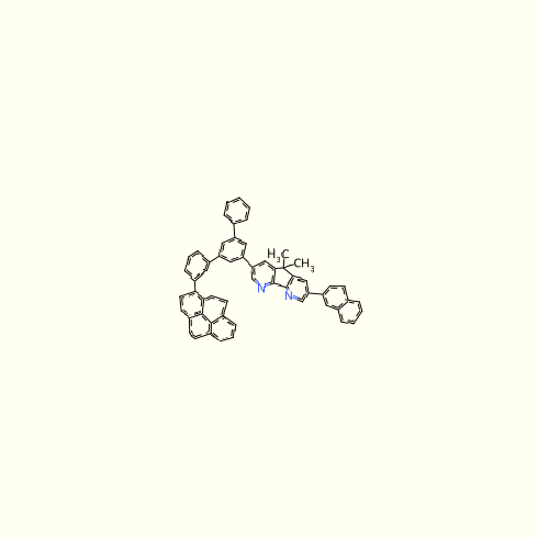 CC1(C)c2cc(-c3cc(-c4ccccc4)cc(-c4cccc(-c5ccc6ccc7cccc8ccc5c6c78)c4)c3)cnc2-c2ncc(-c3ccc4ccccc4c3)cc21